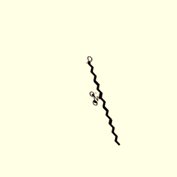 CCCCC/C=C/C/C=C/C/C(=C/C/C=C/CCC[C]=O)[N+](=O)[O-]